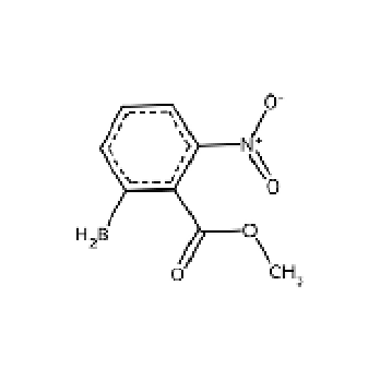 Bc1cccc([N+](=O)[O-])c1C(=O)OC